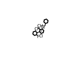 CCc1c(OCc2ccccc2)ccc(Cl)c1-c1c(C)cccc1F